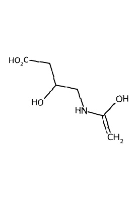 C=C(O)NCC(O)CC(=O)O